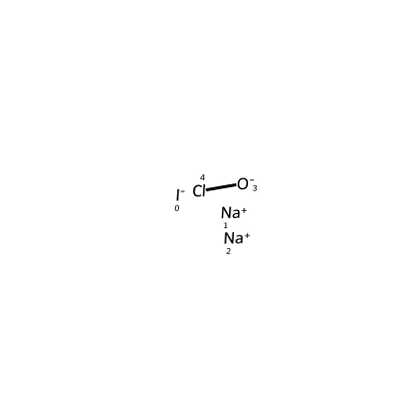 [I-].[Na+].[Na+].[O-]Cl